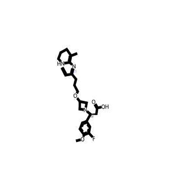 C=C/C(CCCOC1CN([C@@H](CC(=O)O)c2ccc(OC)c(F)c2)C1)=N\C1=C(C)CCCN1